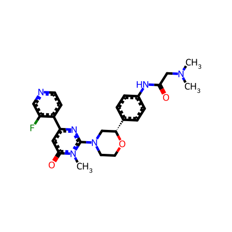 CN(C)CC(=O)Nc1ccc([C@H]2CN(c3nc(-c4ccncc4F)cc(=O)n3C)CCO2)cc1